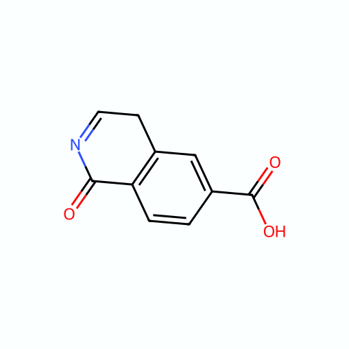 O=C(O)c1ccc2c(c1)CC=NC2=O